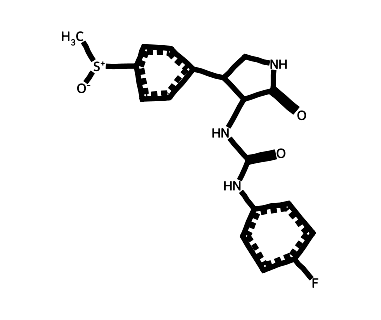 C[S+]([O-])c1ccc(C2CNC(=O)C2NC(=O)Nc2ccc(F)cc2)cc1